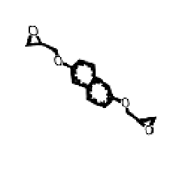 c1cc2cc(OCC3CO3)ccc2cc1OCC1CO1